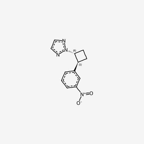 O=[N+]([O-])c1cccc([C@@H]2CC[C@H]2n2nccn2)c1